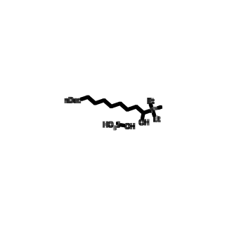 CCCCCCCCCCCCCCCCCC(O)[N+](C)(CC)CC.O=S(=O)(O)O